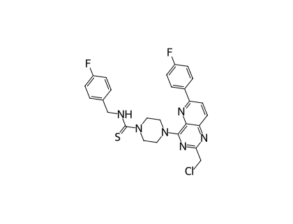 Fc1ccc(CNC(=S)N2CCN(c3nc(CCl)nc4ccc(-c5ccc(F)cc5)nc34)CC2)cc1